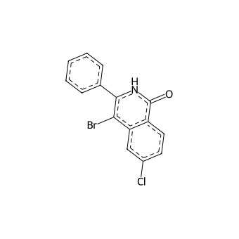 O=c1[nH]c(-c2ccccc2)c(Br)c2cc(Cl)ccc12